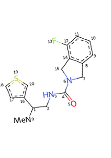 CNC(CNC(=O)N1Cc2cccc(F)c2C1)c1ccsc1